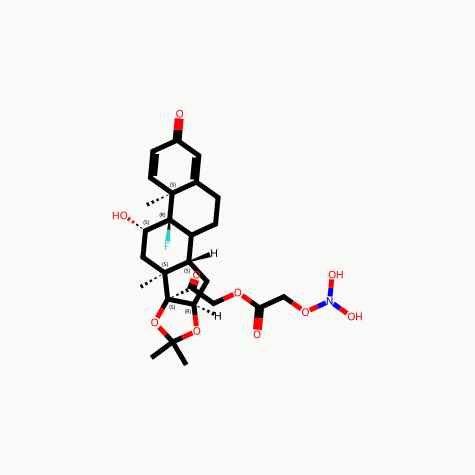 CC1(C)O[C@@H]2C[C@H]3C4CCC5=CC(=O)C=C[C@]5(C)[C@@]4(F)[C@@H](O)C[C@]3(C)[C@]2(C(=O)COC(=O)CON(O)O)O1